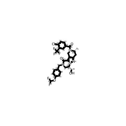 C[C@@H]1Cc2nn3c(c2CN1C(=O)c1ccc(Cl)c(C(F)(F)F)c1)C(=O)N(Cc1ccc(OC(F)F)cc1)C[C@H]3CO